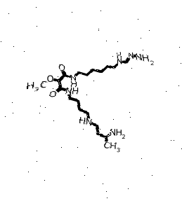 COC(C(=O)NCCCCCCNC=NN)C(=O)NCCCCNCCC(C)N